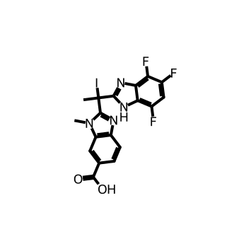 Cn1c(C(C)(I)c2nc3c(F)c(F)cc(F)c3[nH]2)nc2ccc(C(=O)O)cc21